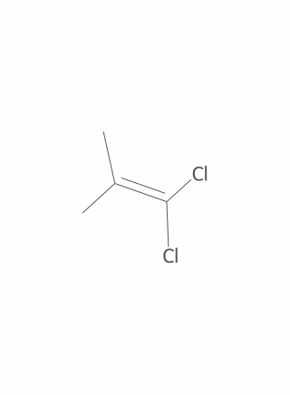 CC(C)=C(Cl)Cl